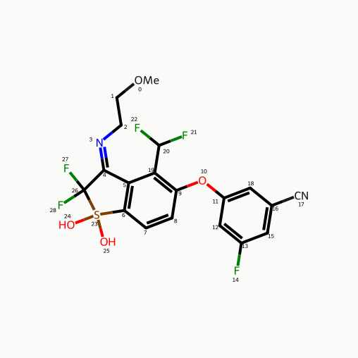 COCC/N=C1\c2c(ccc(Oc3cc(F)cc(C#N)c3)c2C(F)F)S(O)(O)C1(F)F